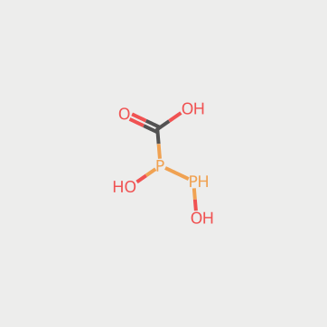 O=C(O)P(O)PO